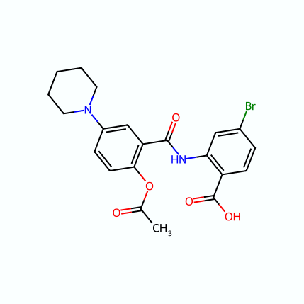 CC(=O)Oc1ccc(N2CCCCC2)cc1C(=O)Nc1cc(Br)ccc1C(=O)O